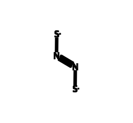 [S]N=N[S]